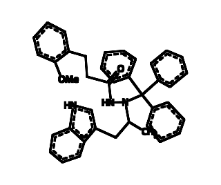 COc1ccccc1CCC(=O)NN(C(C)Cc1c[nH]c2ccccc12)C(c1ccccc1)(c1ccccc1)c1ccccc1